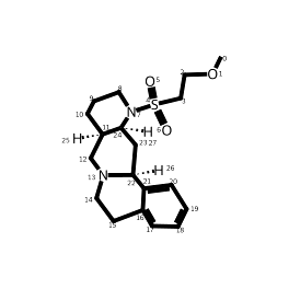 COCCS(=O)(=O)N1CCC[C@@H]2CN3CCc4ccccc4[C@@H]3C[C@@H]21